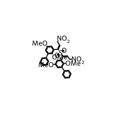 COc1cc(/C(=C\C[N+](=O)[O-])S(=O)(=O)/C(=C/C[N+](=O)[O-])c2cc(OC)cc(-c3ccccc3)c2OC)c(OC)c(-c2ccccc2)c1